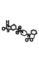 O=C1OCc2ccccc2N1C1CCN(S(=O)(=O)c2ccc3[nH]c(=O)sc3c2)CC1